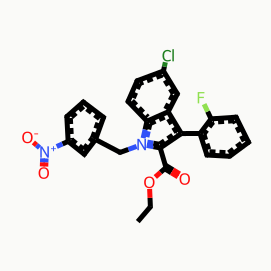 CCOC(=O)c1c(-c2ccccc2F)c2cc(Cl)ccc2n1Cc1cccc([N+](=O)[O-])c1